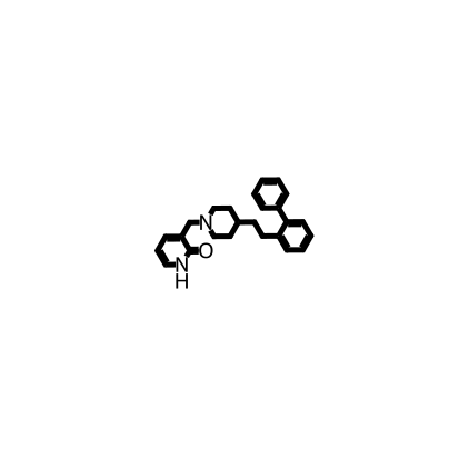 O=c1[nH]cccc1CN1CCC(CCc2ccccc2-c2ccccc2)CC1